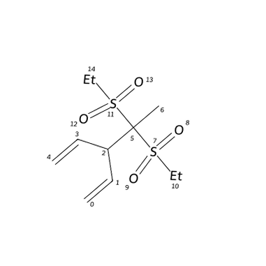 C=CC(C=C)C(C)(S(=O)(=O)CC)S(=O)(=O)CC